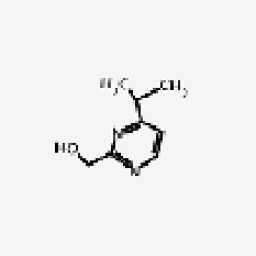 CC(C)c1ccnc(CO)n1